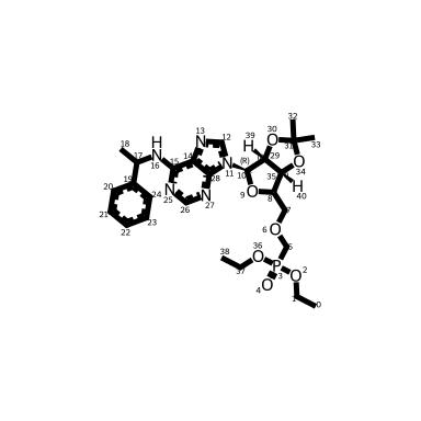 CCOP(=O)(COCC1O[C@@H](n2cnc3c(NC(C)c4ccccc4)ncnc32)[C@@H]2OC(C)(C)O[C@H]12)OCC